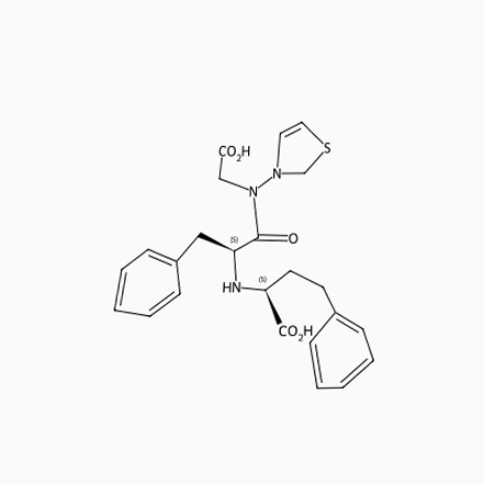 O=C(O)CN(C(=O)[C@H](Cc1ccccc1)N[C@@H](CCc1ccccc1)C(=O)O)N1C=CSC1